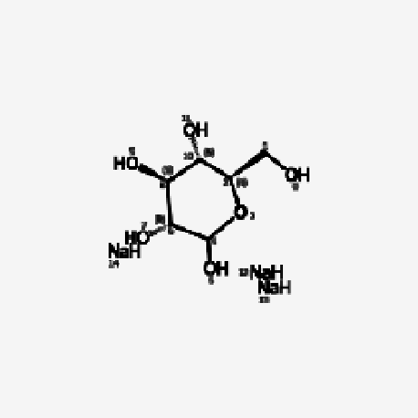 OC[C@H]1OC(O)[C@H](O)[C@@H](O)[C@@H]1O.[NaH].[NaH].[NaH]